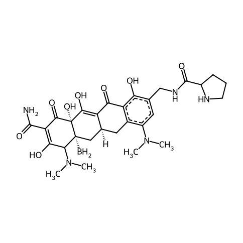 B[C@@]12C[C@@H]3Cc4c(N(C)C)cc(CNC(=O)C5CCCN5)c(O)c4C(=O)C3=C(O)[C@]1(O)C(=O)C(C(N)=O)=C(O)C2N(C)C